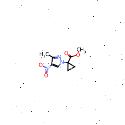 COC(=O)C1(n2cc([N+](=O)[O-])c(C)n2)CC1